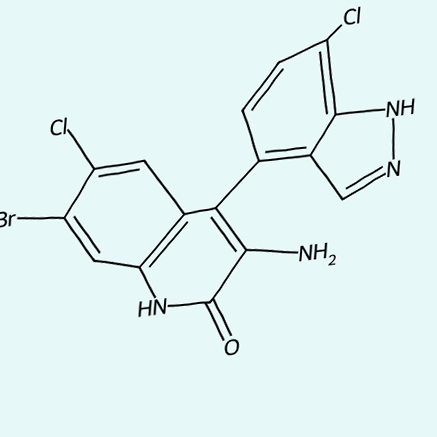 Nc1c(-c2ccc(Cl)c3[nH]ncc23)c2cc(Cl)c(Br)cc2[nH]c1=O